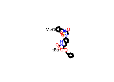 COc1ccc(CN2C(=O)CN(c3ccc(CC(NC(=O)OC(C)(C)C)C(=O)OCc4ccccc4)cc3)S2(=O)=O)cc1